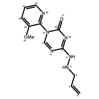 C=CCNNc1ncn(-c2ncccc2OC)c(=O)n1